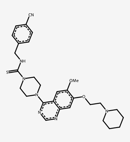 COc1cc2c(N3CCN(C(=S)NCc4ccc(C#N)cc4)CC3)ncnc2cc1OCCN1CCCCC1